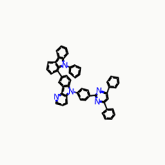 c1ccc(-c2cc(-c3ccccc3)nc(-c3ccc(-n4c5ccc(-c6cccc7c8ccccc8n(-c8ccccc8)c67)cc5c5ncccc54)cc3)n2)cc1